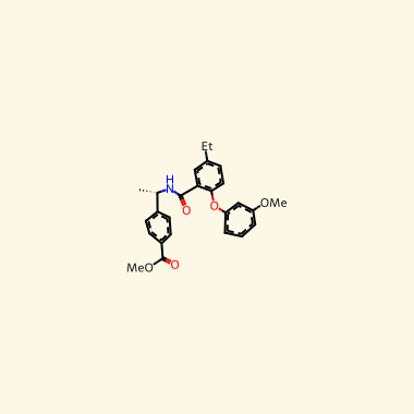 CCc1ccc(Oc2cccc(OC)c2)c(C(=O)N[C@@H](C)c2ccc(C(=O)OC)cc2)c1